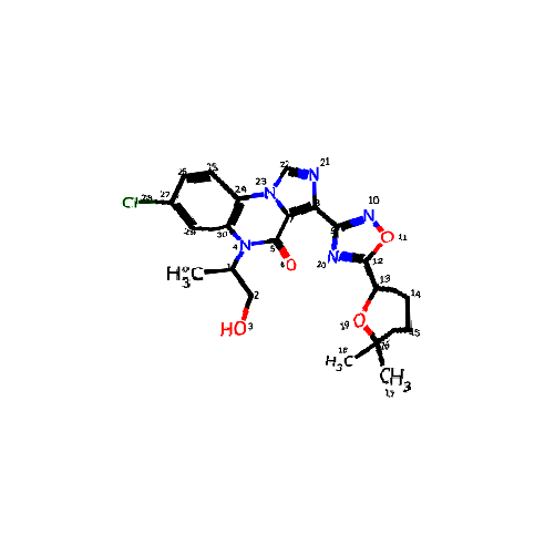 CC(CO)n1c(=O)c2c(-c3noc(C4CCC(C)(C)O4)n3)ncn2c2ccc(Cl)cc21